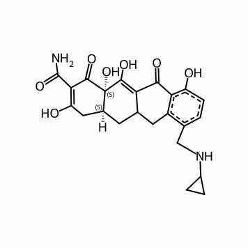 NC(=O)C1=C(O)C[C@@H]2CC3Cc4c(CNC5CC5)ccc(O)c4C(=O)C3=C(O)[C@]2(O)C1=O